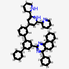 C1=CNC(C2=CC(c3cccc(-c4cc(-c5ccccc5)cc(-c5nc(-c6ccccc6)c6ccc7ccccc7c6n5)c4)c3)=CC(c3ccccn3)N2)C=C1